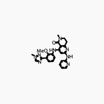 COc1c(Nc2cc(Nc3ccccn3)nc3c2C(=O)N(C)CC3)cccc1-c1ncn(C)n1